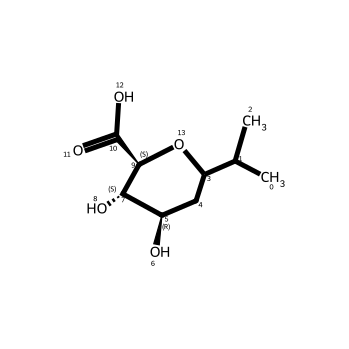 CC(C)C1C[C@@H](O)[C@H](O)[C@@H](C(=O)O)O1